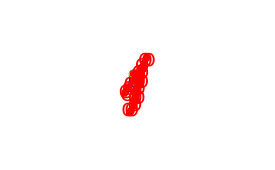 C=CC(=O)OCCCOc1ccc(OC(=O)C2CCC(C(=O)Oc3ccc(OC(=O)C4CCC(C(=O)Oc5ccc(OCCCOC(=O)C=C)cc5)CC4)c(/C=N/N(CCOCCOCCOC(=O)C=C)c4nc5ccccc5s4)c3)CC2)cc1